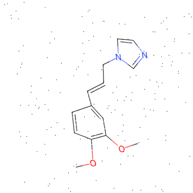 COc1ccc(C=CCn2ccnc2)cc1OC